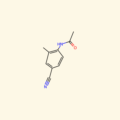 CC(=O)Nc1ccc(C#N)cc1C